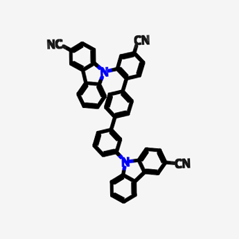 N#Cc1ccc(-c2ccc(-c3cccc(-n4c5ccccc5c5cc(C#N)ccc54)c3)cc2)c(-n2c3ccccc3c3cc(C#N)ccc32)c1